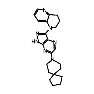 c1cnc2c(c1)N(c1n[nH]c3nc(N4CCC5(CCCC5)CC4)cnc13)CCC2